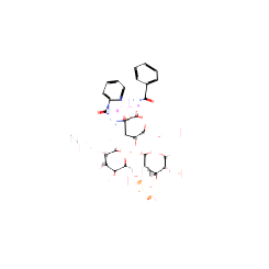 C[C@@H]1O[C@@H](O[C@H]2[C@H](O[C@H]3C[C@@H](OS(=O)(=O)[O-])[C@@H](O)[C@@H](CO)O3)[C@@H](CO)O[C@@H](NC(=O)c3ccccc3)[C@@]2(O)NC(=O)c2ccccc2)[C@@H](O)[C@H](O)[C@@H]1O.[Na+]